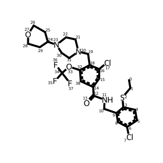 CCSc1ccc(Cl)cc1CNC(=O)c1cc(Cl)c(CN2CCN(C3CCOCC3)CC2)c(OC(F)(F)F)c1